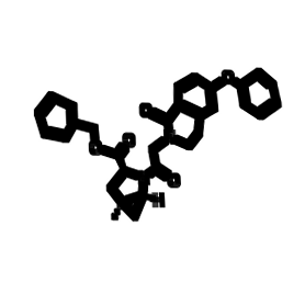 C[C@@]12C[C@@H]1N(C(=O)CN1CCc3cc(Oc4ccccc4)ccc3C1=O)[C@H](C(=O)OCc1ccccc1)C2